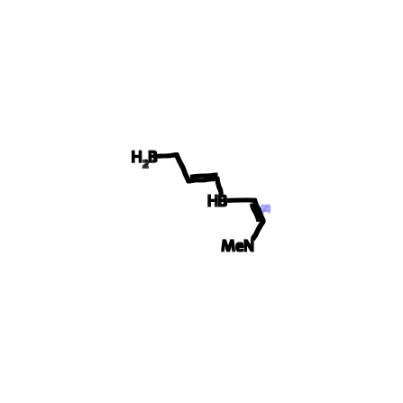 BCC=CB/C=C\NC